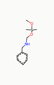 CO[Si](C)(C)OCNCc1ccccc1